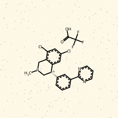 CN1Cc2c(Cl)cc(Cl)cc2[C@H](c2cccc(-c3ncccn3)c2)C1.O=C(O)C(F)(F)F